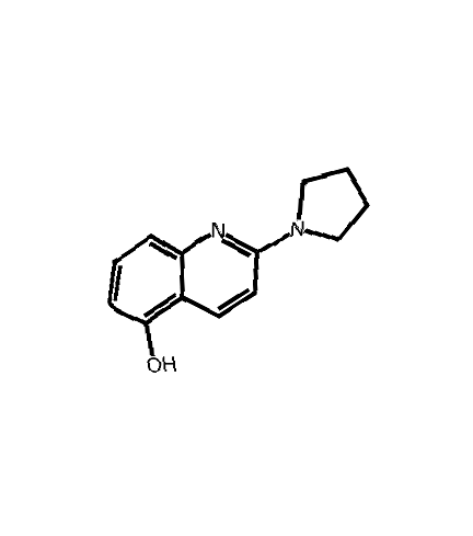 Oc1cccc2nc(N3CCCC3)ccc12